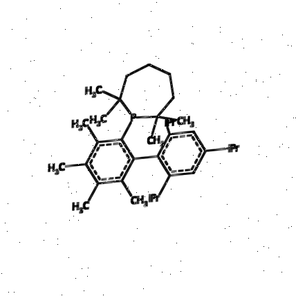 Cc1c(C)c(C)c(P2C(C)(C)CCCCC2(C)C)c(-c2c(C(C)C)cc(C(C)C)cc2C(C)C)c1C